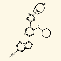 N#Cc1cnn2c(-c3cc(NC4CCOCC4)c(-c4nnc(N5C6CCC5CNC6)s4)cn3)ccc2c1